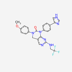 COc1ccc(N2Cc3cnc(NCC(F)(F)F)nc3N(c3ccc(-c4c[nH]cn4)cc3)C2=O)cc1